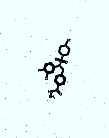 CC(C)N1CCN(S(=O)(=O)N(Cc2ccc(C(=O)NN)cc2)c2ccc(F)c(Cl)c2)CC1